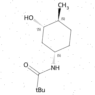 C[C@H]1CC[C@H](NC(=O)C(C)(C)C)C[C@@H]1O